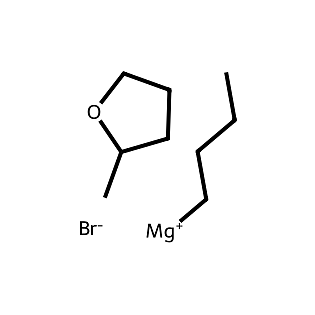 CC1CCCO1.CCC[CH2][Mg+].[Br-]